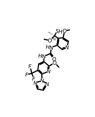 COc1cncc(NC(=O)Nc2cc(C(F)(F)F)c(-n3nccn3)nc2OC)c1[C@](C)(S)OC